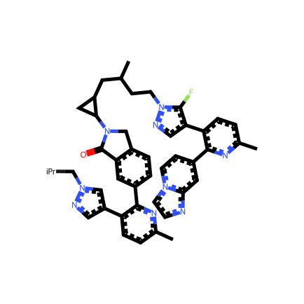 Cc1ccc(-c2cnn(CC(C)C)c2)c(-c2ccc3c(c2)C(=O)N(C2CC2CC(C)CCn2ncc(-c4ccc(C)nc4-c4ccn5ccnc5c4)c2F)C3)n1